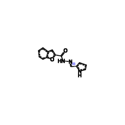 O=C(N/N=C/c1ccc[nH]1)c1cc2ccccc2o1